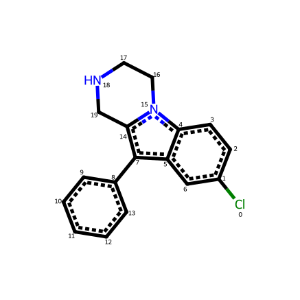 Clc1ccc2c(c1)c(-c1ccccc1)c1n2CCNC1